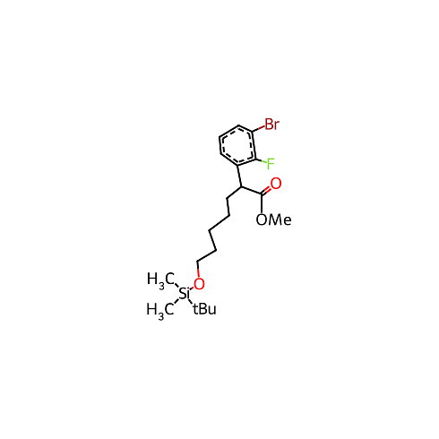 COC(=O)C(CCCCCO[Si](C)(C)C(C)(C)C)c1cccc(Br)c1F